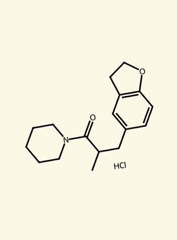 CC(Cc1ccc2c(c1)CCO2)C(=O)N1CCCCC1.Cl